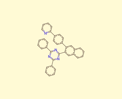 c1ccc(-c2nc(-c3ccccc3)nc(-c3cc4ccccc4cc3-c3ccc(-c4ccccn4)cc3)n2)cc1